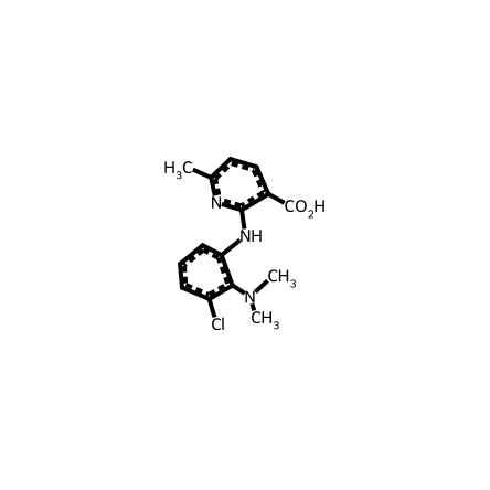 Cc1ccc(C(=O)O)c(Nc2cccc(Cl)c2N(C)C)n1